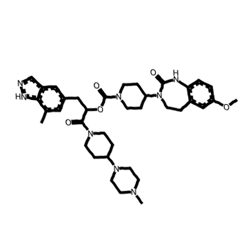 COc1ccc2c(c1)CCN(C1CCN(C(=O)OC(Cc3cc(C)c4[nH]ncc4c3)C(=O)N3CCC(N4CCN(C)CC4)CC3)CC1)C(=O)N2